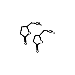 CCC1CCC(=O)O1.CCC1CCC(=O)O1